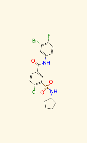 O=C(Nc1ccc(F)c(Br)c1)c1ccc(Cl)c(S(=O)(=O)NC2CCCC2)c1